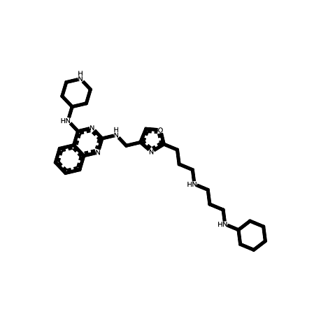 c1ccc2c(NC3CCNCC3)nc(NCc3coc(CCCNCCCNC4CCCCC4)n3)nc2c1